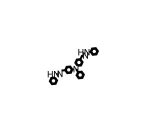 C(=NNc1ccccc1)c1ccc(N(c2ccccc2)c2ccc(C=NNc3ccccc3)cc2)cc1